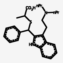 CCCN(CCC)CCc1c(C(SC(C)C(=O)O)c2ccccc2)[nH]c2ccccc12